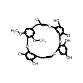 COc1cc2cc(OC)c1Oc1cc(c(O)cc1Cl)C/C=C\Cc1cc(O)cc(O)c1Oc1cc(c(O)cc1Cl)C/C=C(/Cl)C2